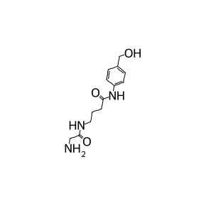 NCC(=O)NCCCC(=O)Nc1ccc(CO)cc1